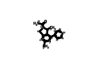 CC1c2c(nc(N)nc2-c2ccncc2)CN1C(N)=O